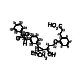 CCC.O=C(O)CCc1ccccc1OCC[C@@H](O)C1CC1c1cccc(NS(=O)(=O)c2ccccc2)c1